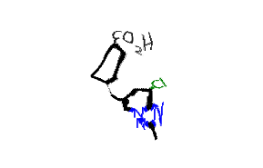 Cc1nc2c(Cl)cc(C[C@H]3CC[C@H](C(=O)O)CC3)cn2n1